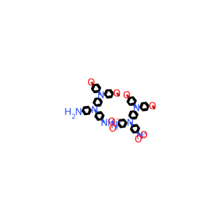 COc1ccc(N(c2ccc(OC)cc2)c2ccc(N(c3ccc(N)cc3)c3ccc(N)cc3)cc2)cc1.COc1ccc(N(c2ccc(OC)cc2)c2ccc(N(c3ccc([N+](=O)[O-])cc3)c3ccc([N+](=O)[O-])cc3)cc2)cc1